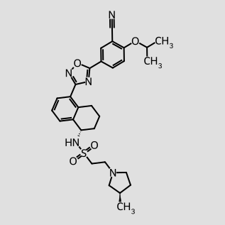 CC(C)Oc1ccc(-c2nc(-c3cccc4c3CCC[C@@H]4NS(=O)(=O)CCN3CC[C@@H](C)C3)no2)cc1C#N